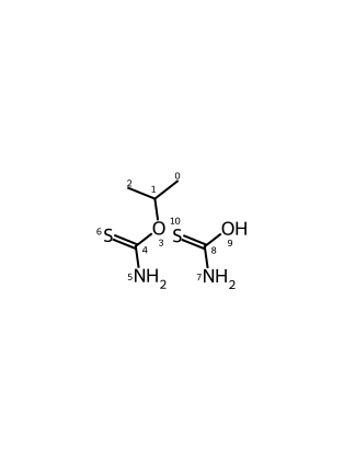 CC(C)OC(N)=S.NC(O)=S